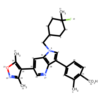 Cc1cc(-c2cn(CC3CCC(C)(F)CC3)c3cc(-c4c(C)noc4C)cnc23)ccc1C(=O)O